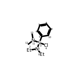 CCN(CC)[Si](Cl)(c1ccccc1)N(C)C